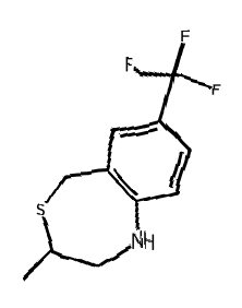 CC1CNc2ccc(C(F)(F)F)cc2CS1